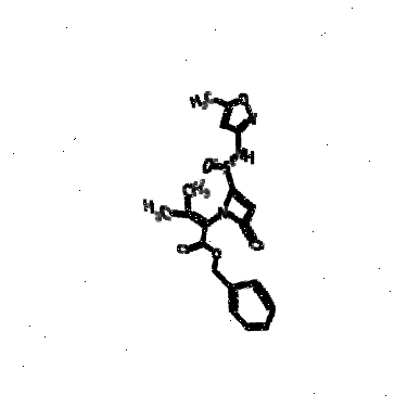 CC(C)=C(C(=O)OCc1ccccc1)N1C(=O)C=C1[S+]([O-])Nc1cc(C)on1